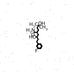 CC(C)(O)CCC(CC(O)[CH]Cc1cccc(F)c1)C(N)=O